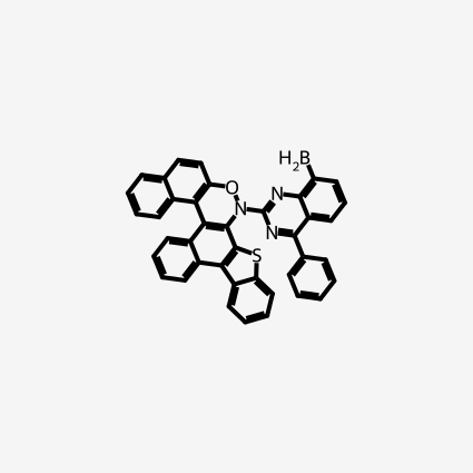 Bc1cccc2c(-c3ccccc3)nc(N3Oc4ccc5ccccc5c4-c4c3c3sc5ccccc5c3c3ccccc43)nc12